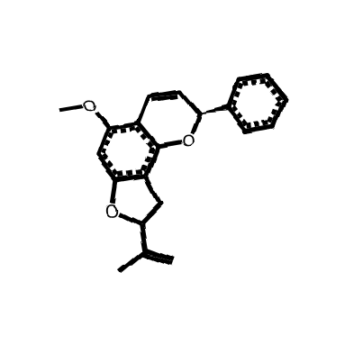 C=C(C)C1Cc2c(cc(OC)c3c2O[C@H](c2ccccc2)C=C3)O1